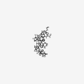 C=CCNC(=O)C(=O)C(CCCC)NC(=O)[C@@H]1[C@@H]2[C@H](CN1C(=O)[C@@H](NC(=O)N[C@H](CN(C)S(=O)(=O)c1cccs1)C(C)(C)C)C1CCCCC1)C2(C)C